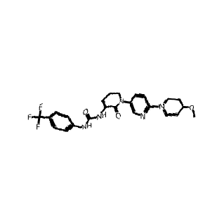 COC1CCN(c2ccc(N3CCCC(NC(=O)Nc4ccc(C(F)(F)F)cc4)C3=O)cn2)CC1